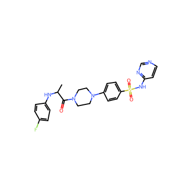 CC(Nc1ccc(F)cc1)C(=O)N1CCN(c2ccc(S(=O)(=O)Nc3ccncn3)cc2)CC1